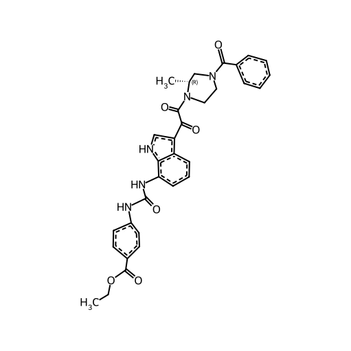 CCOC(=O)c1ccc(NC(=O)Nc2cccc3c(C(=O)C(=O)N4CCN(C(=O)c5ccccc5)C[C@H]4C)c[nH]c23)cc1